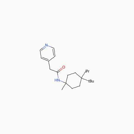 CC(C)C1(C(C)(C)C)CCC(C)(NC(=O)Cc2ccncc2)CC1